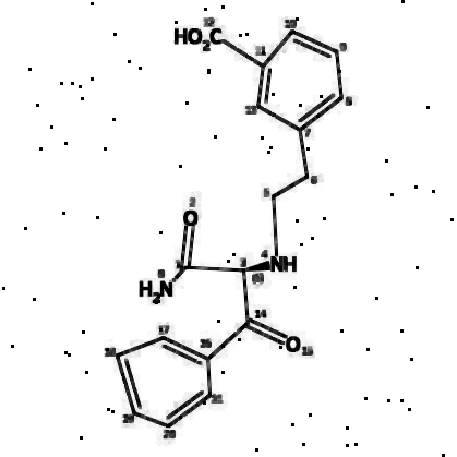 NC(=O)[C@@H](NCCc1cccc(C(=O)O)c1)C(=O)c1ccccc1